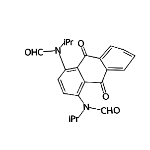 CC(C)N(C=O)c1ccc(N(C=O)C(C)C)c2c1C(=O)c1ccccc1C2=O